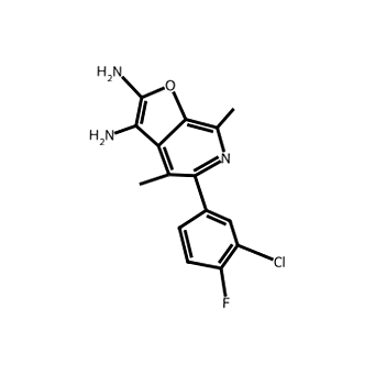 Cc1nc(-c2ccc(F)c(Cl)c2)c(C)c2c(N)c(N)oc12